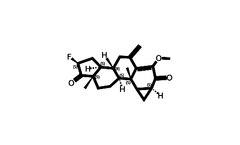 C=C1C[C@H]2[C@@H]3C[C@H](F)C(=O)[C@@]3(C)CC[C@@H]2[C@]2(C)C1=C(OC)C(=O)[C@H]1CC12